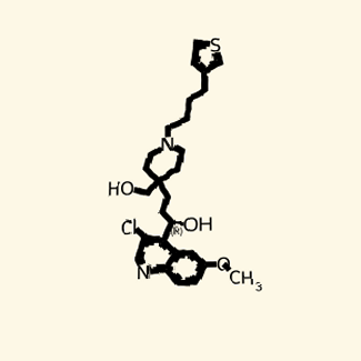 COc1ccc2ncc(Cl)c([C@H](O)CCC3(CO)CCN(CCCCc4ccsc4)CC3)c2c1